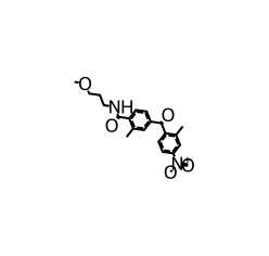 COCCCNC(=O)c1ccc(C(=O)c2ccc([N+](=O)[O-])cc2C)cc1C